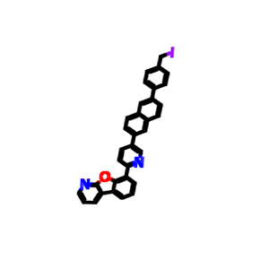 ICc1ccc(-c2ccc3cc(-c4ccc(-c5cccc6c5oc5ncccc56)nc4)ccc3c2)cc1